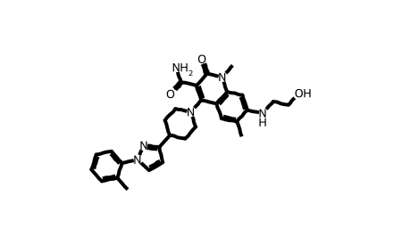 Cc1cc2c(N3CCC(c4ccn(-c5ccccc5C)n4)CC3)c(C(N)=O)c(=O)n(C)c2cc1NCCO